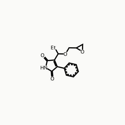 CCC(OCC1CO1)C1=C(c2ccccc2)C(=O)NC1=O